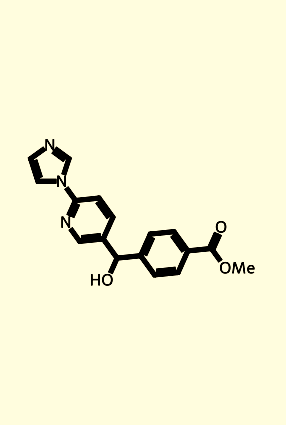 COC(=O)c1ccc(C(O)c2ccc(-n3ccnc3)nc2)cc1